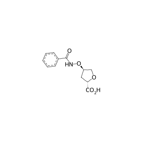 O=C(NO[C@H]1CO[C@H](C(=O)O)C1)c1ccccc1